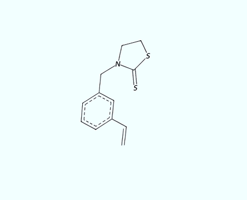 C=Cc1cccc(CN2CCSC2=S)c1